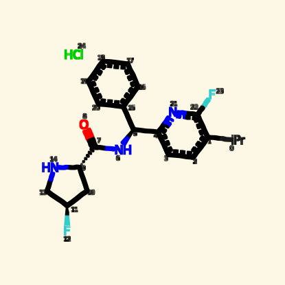 CC(C)c1ccc([C@@H](NC(=O)[C@@H]2C[C@@H](F)CN2)c2ccccc2)nc1F.Cl